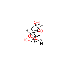 C[C@]12C[C@@H]3C[C@@]1(CO)O[C@@H](O3)[C@@]21CC[C@](C)(O)[C@H]2O[C@H]21